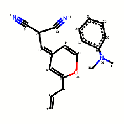 C=CCC1=CC(=CC(C#N)C#N)C=CO1.CN(C)c1ccccc1